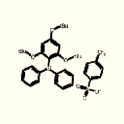 CC(C)(C)Oc1cc(OC(C)(C)C)c([S+](c2ccccc2)c2ccccc2)c(OC(C)(C)C)c1.O=S(=O)([O-])c1ccc(C(F)(F)F)cc1